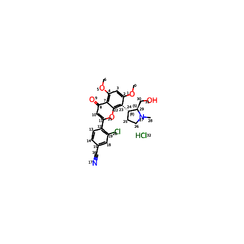 COc1cc(OC)c2c(=O)cc(-c3ccc(C#N)cc3Cl)oc2c1[C@H]1CCN(C)[C@@H]1CO.Cl